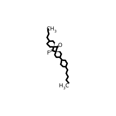 CCCCCCC1CCC(C2CC[C@]3(CC2)C(=O)[C@@]2(CCC(CCCC)CC2)[C@H]3F)CC1